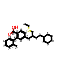 CCSCC(CCC1CCCCC1)Cc1ccc(C(=O)O)c(-c2ccccc2C)c1